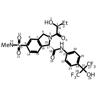 CC[C@H](O)C(=O)N1Cc2cc(S(=O)(=O)NC)ccc2[C@H]1C(=O)Nc1ccc(C(O)(C(F)(F)F)C(F)(F)F)cc1